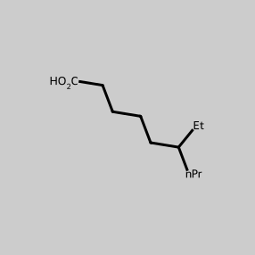 CCCC(CC)CCCCC(=O)O